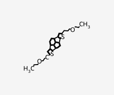 CCCOCCCc1cc2c(s1)-c1ccc3c4c(ccc-2c14)-c1cc(CCCOCCC)sc1-3